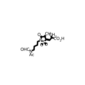 C=C(/C=C1\C(=C)C(=O)N(CCCCN(C=O)C(C)=O)S1(=O)=O)C(=O)O